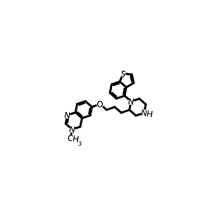 CN1C=Nc2ccc(OCCCC3CNCCN3c3cccc4sccc34)cc2C1